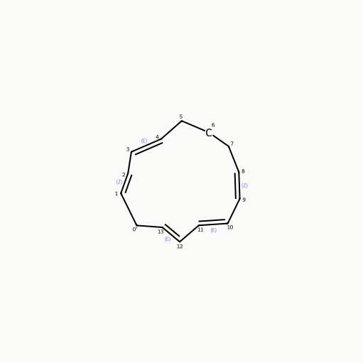 [CH]1/C=C\C=C\CCC\C=C/C=C/C=C/1